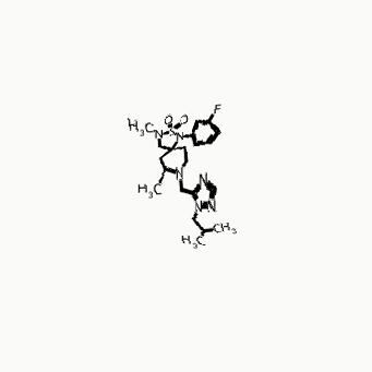 CC(C)Cn1ncnc1CN1CC[C@@]2(C[C@@H]1C)CN(C)S(=O)(=O)N2c1cccc(F)c1